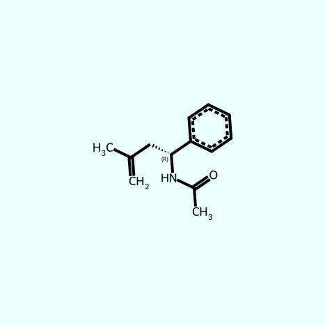 C=C(C)C[C@@H](NC(C)=O)c1ccccc1